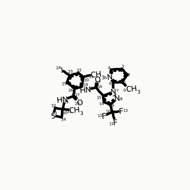 Cc1cccnc1-n1nc(C(F)(F)F)cc1C(=O)Nc1c(C)cc(I)cc1C(=O)NC1(C)CSC1